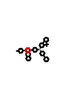 Cc1ccc(-c2ccc(-c3ccc(N(c4ccc(-c5ccccc5)cc4)c4ccc5c(c4)C(C)(C)c4ccccc4-5)cc3)c3c2C2c4ccccc4C3c3ccccc32)cc1